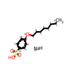 CCCCCCCCOc1ccc(S(=O)(=O)O)cc1.[NaH]